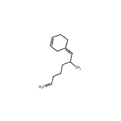 C=CCCCC(C)C=C1CC=CCC1